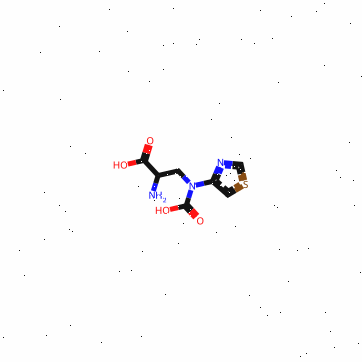 NC(CN(C(=O)O)c1cscn1)C(=O)O